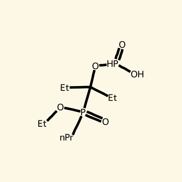 CCCP(=O)(OCC)C(CC)(CC)O[PH](=O)O